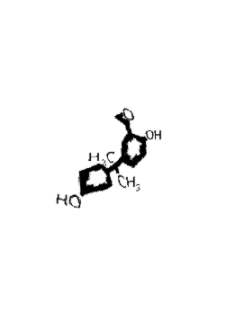 CC(C)(c1ccc(O)cc1)c1ccc(O)c(C2CO2)c1